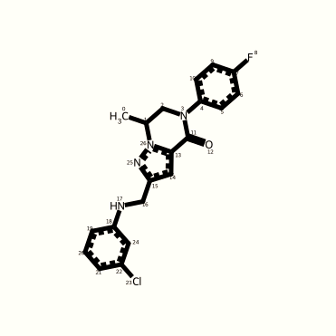 CC1CN(c2ccc(F)cc2)C(=O)c2cc(CNc3cccc(Cl)c3)nn21